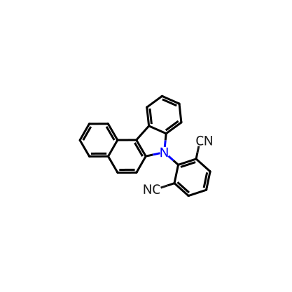 N#Cc1cccc(C#N)c1-n1c2ccccc2c2c3ccccc3ccc21